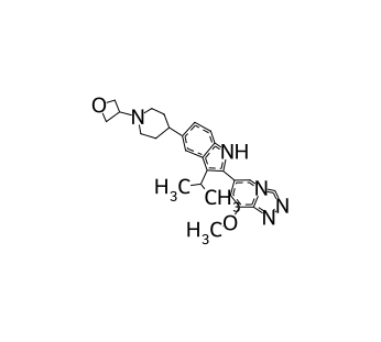 COc1cc(-c2[nH]c3ccc(C4CCN(C5COC5)CC4)cc3c2C(C)C)cn2cnnc12